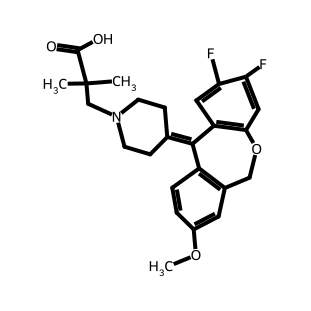 COc1ccc2c(c1)COc1cc(F)c(F)cc1C2=C1CCN(CC(C)(C)C(=O)O)CC1